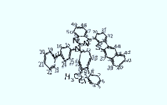 CC1(C)c2ccccc2-c2ccc(N(c3ccc(-c4ccccc4)cc3)c3nc(-c4cccc5c4sc4cc6ccccc6cc45)c4ccccc4n3)cc21